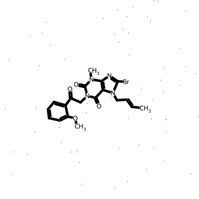 CC=CCn1c(Br)nc2c1c(=O)n(CC(=O)c1ccccc1OC)c(=O)n2C